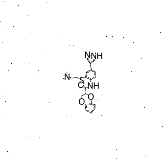 CN(C)CCSc1cc(-c2cn[nH]c2)ccc1NC(=O)C1COc2ccccc2O1